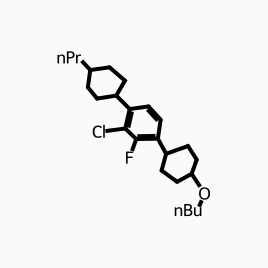 CCCCOC1CCC(c2ccc(C3CCC(CCC)CC3)c(Cl)c2F)CC1